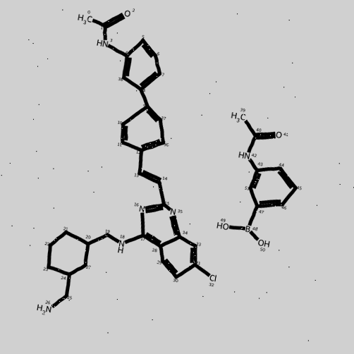 CC(=O)Nc1cccc(-c2ccc(/C=C/c3nc(NCC4CCCC(CN)C4)c4ccc(Cl)cc4n3)cc2)c1.CC(=O)Nc1cccc(B(O)O)c1